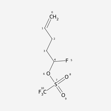 C=CCCC(F)OS(=O)(=O)C(F)(F)F